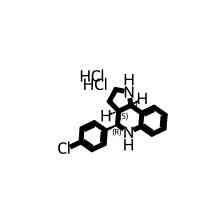 Cl.Cl.Clc1ccc([C@@H]2Nc3ccccc3[C@@H]3NCC[C@H]23)cc1